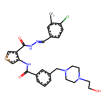 O=C(Nc1cscc1C(=O)NN=Cc1ccc(Cl)c(C(F)(F)F)c1)c1cccc(CN2CCN(CCO)CC2)c1